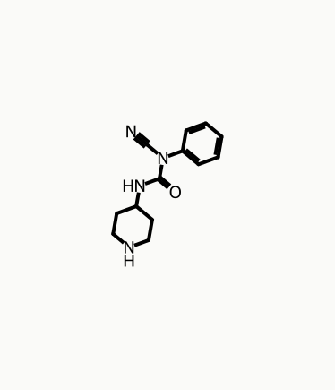 N#CN(C(=O)NC1CCNCC1)c1ccccc1